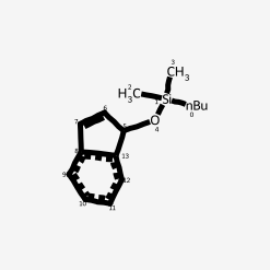 CCCC[Si](C)(C)OC1C=Cc2ccccc21